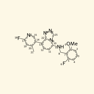 COc1cccc(F)c1CNc1ccc(-c2cnc(F)cc2C)c2nncn12